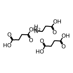 NCCC(=O)O.O=C(O)CCC(=O)O.O=C(O)CCC(=O)O